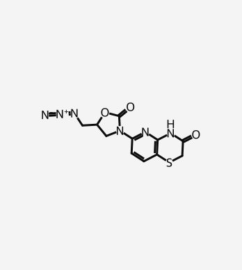 [N-]=[N+]=NCC1CN(c2ccc3c(n2)NC(=O)CS3)C(=O)O1